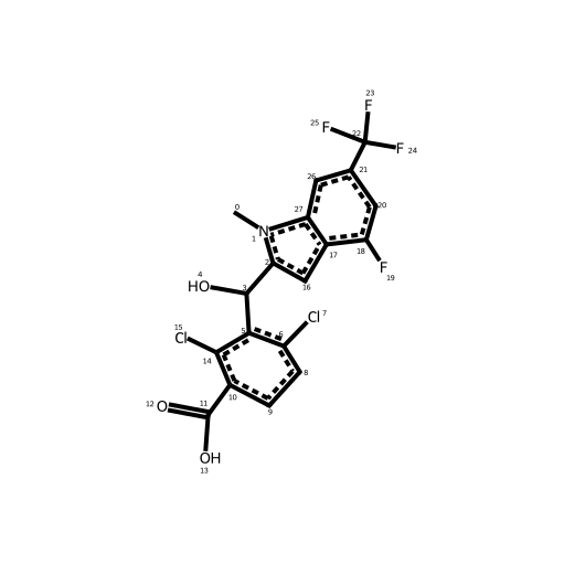 Cn1c(C(O)c2c(Cl)ccc(C(=O)O)c2Cl)cc2c(F)cc(C(F)(F)F)cc21